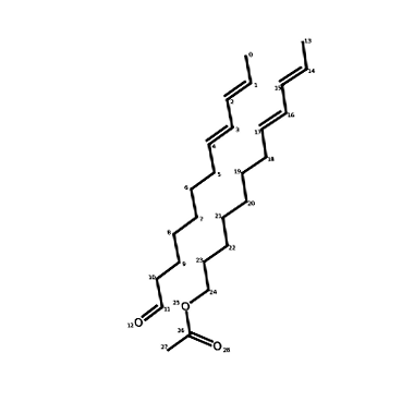 CC=CC=CCCCCCCC=O.CC=CC=CCCCCCCCOC(C)=O